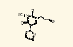 Cl.O=CCCn1cc(-c2cccnn2)c(=O)[nH]c1=O